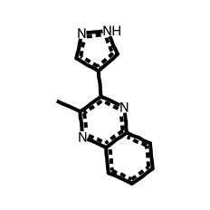 Cc1nc2ccccc2nc1-c1cn[nH]c1